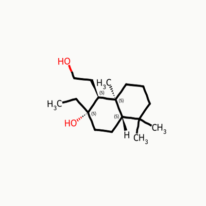 CC[C@]1(O)CC[C@H]2C(C)(C)CCC[C@]2(C)[C@@H]1CCO